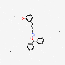 [O]c1cccc(CCCC=NOC(c2ccccc2)c2ccccc2)c1